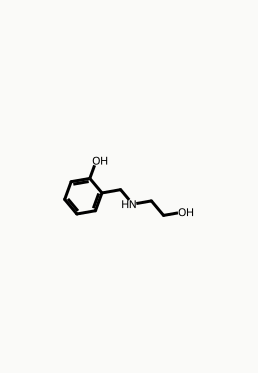 OCCNCc1ccccc1O